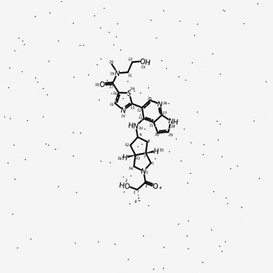 C[C@H](O)C(=O)N1C[C@H]2CC(Nc3c(-c4ncc(C(=O)N(C)CCO)s4)cnc4[nH]ccc34)C[C@H]2C1